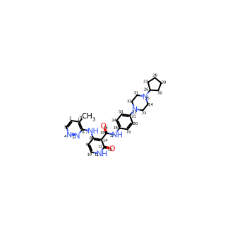 Cc1ccnnc1Nc1cc[nH]c(=O)c1C(=O)Nc1ccc(N2CCN(C3CCCC3)CC2)cc1